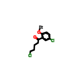 CCOc1ccc(Cl)cc1C(=O)CCCCCl